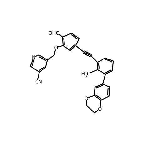 Cc1c(C#Cc2ccc(C=O)c(OCc3cncc(C#N)c3)c2)cccc1-c1ccc2c(c1)OCCO2